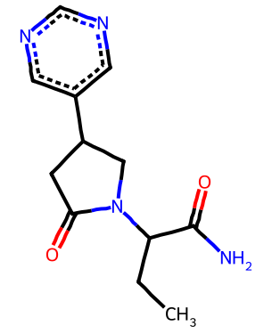 CCC(C(N)=O)N1CC(c2cncnc2)CC1=O